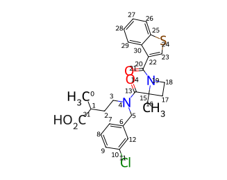 CC(CCN(Cc1cccc(Cl)c1)C(=O)C1(C)CCN1C(=O)c1csc2ccccc12)C(=O)O